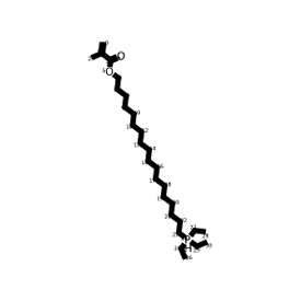 C=C(C)C(=O)OCCCCCCCCCCCCCCCCCC[PH](CC)(CC)CC